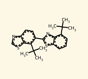 CC(C)(C)c1cccc2sc(-c3ccc4ncsc4c3C(C)(C)C)nc12